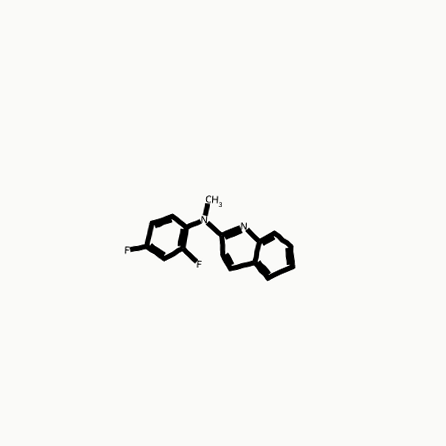 CN(c1ccc2ccccc2n1)c1ccc(F)cc1F